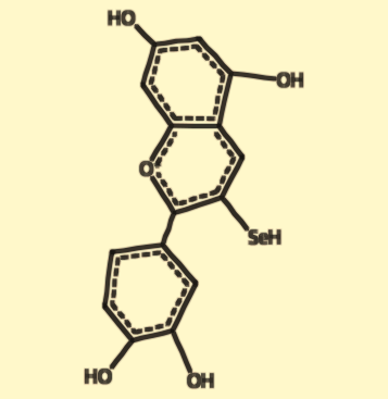 Oc1cc(O)c2cc([SeH])c(-c3ccc(O)c(O)c3)[o+]c2c1